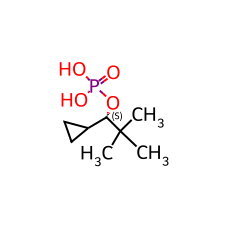 CC(C)(C)[C@@H](OP(=O)(O)O)C1CC1